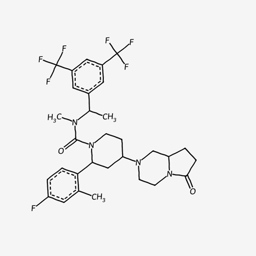 Cc1cc(F)ccc1C1CC(N2CCN3C(=O)CCC3C2)CCN1C(=O)N(C)C(C)c1cc(C(F)(F)F)cc(C(F)(F)F)c1